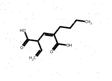 C=CC(C=C(CCCC)C(=O)O)C(=O)O